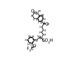 CN1C(=O)CCc2cc(C(=O)CCCCN(CCc3ccccc3OC(F)(F)F)C(=O)O)ccc21